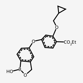 CCOC(=O)c1ccc(Oc2ccc3c(c2)COB3O)cc1OCC1CC1